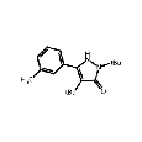 Cc1cccc(-c2[nH]n(C(C)(C)C)c(=O)c2C(C)(C)C)c1